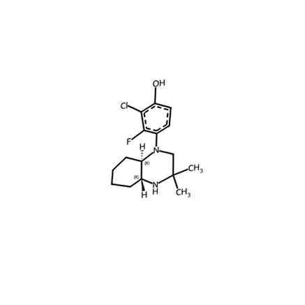 CC1(C)CN(c2ccc(O)c(Cl)c2F)[C@@H]2CCCC[C@H]2N1